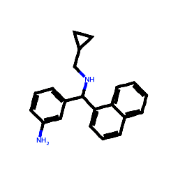 Nc1cccc(C(NCC2CC2)c2cccc3ccccc23)c1